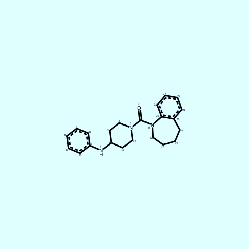 O=C(N1CCC(Nc2ccccc2)CC1)N1CCCCc2ccccc21